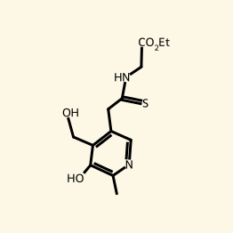 CCOC(=O)CNC(=S)Cc1cnc(C)c(O)c1CO